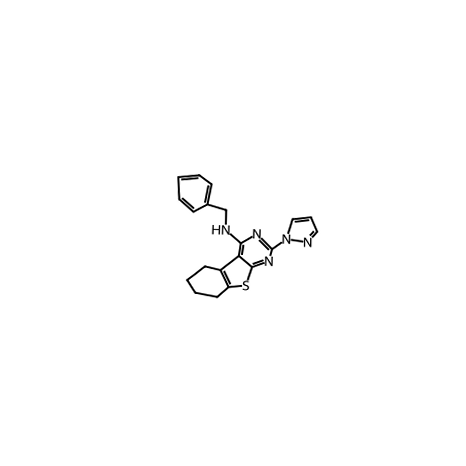 c1ccc(CNc2nc(-n3cccn3)nc3sc4c(c23)CCCC4)cc1